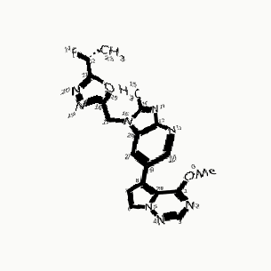 COc1ncnn2ccc(-c3cnc4nc(C)n(Cc5nnc([C@@H](C)F)o5)c4c3)c12